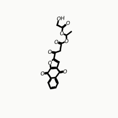 CC(OC(=O)CO)OC(=O)CC(=O)c1cc2c(o1)C(=O)c1ccccc1C2=O